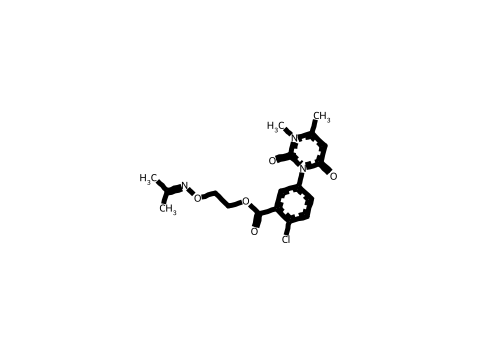 CC(C)=NOCCOC(=O)c1cc(-n2c(=O)cc(C)n(C)c2=O)ccc1Cl